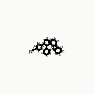 N#Cc1ccc(-c2ccccc2-c2ccccc2-n2c3ccccc3c3ccccc32)nc1